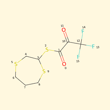 O=C(SC1CSCCCS1)C(=O)C(F)(F)F